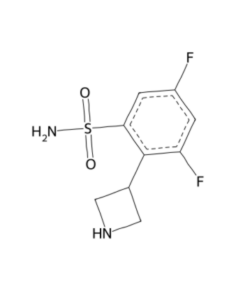 NS(=O)(=O)c1cc(F)cc(F)c1C1CNC1